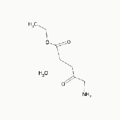 CCOC(=O)CCC(=O)CN.O